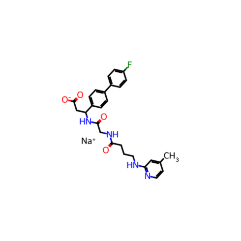 Cc1ccnc(NCCCC(=O)NCC(=O)NC(CC(=O)[O-])c2ccc(-c3ccc(F)cc3)cc2)c1.[Na+]